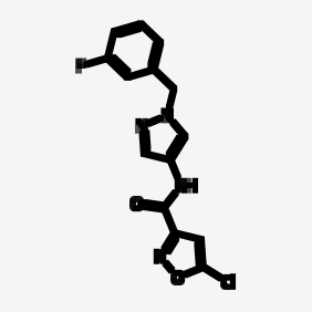 O=C(Nc1cnn(Cc2cccc(F)c2)c1)c1cc(Cl)on1